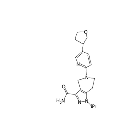 CC(C)n1nc(C(N)=O)c2c1CCN(c1ccc(C3CCOC3)cn1)C2